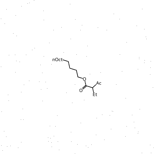 CCCCCCCCCCCCOC(=O)C(CC)C(C)=O